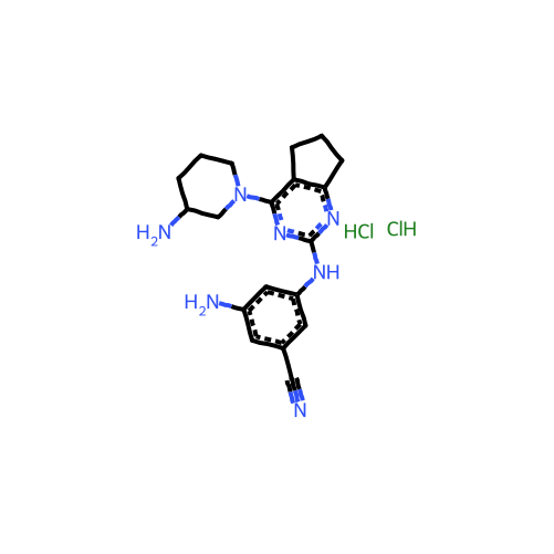 Cl.Cl.N#Cc1cc(N)cc(Nc2nc3c(c(N4CCCC(N)C4)n2)CCC3)c1